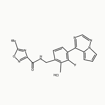 Cc1c(CNC(=O)c2noc(C(C)(C)C)n2)ccc(-c2ncnn3cccc23)c1F.Cl